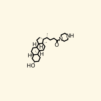 C[C@H](CCC(=O)N1CCNCC1)[C@H]1CC[C@H]2[C@@H]3CC[C@H]4C[C@@H](O)CC[C@]4(C)[C@H]3CC[C@]12C